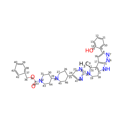 C[C@H]1c2c([nH]c3nnc(-c4ccccc4O)cc23)CCN1c1ncc(C2CCN(C3CCN(C(=O)OCc4ccccc4)CC3)CC2)cn1